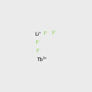 [F-].[F-].[F-].[F-].[Li+].[Tb+3]